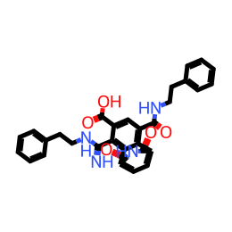 N=C(NCCc1ccccc1)c1c(C(=O)O)cc(C(=O)NCCc2ccccc2)c2c3ccc(c(=O)[nH]c3=O)c12